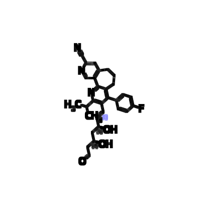 CC(C)c1nc2c(c(-c3ccc(F)cc3)c1/C=C/[C@@H](O)C[C@@H](O)CC=O)CCCc1cc(C#N)ncc1-2